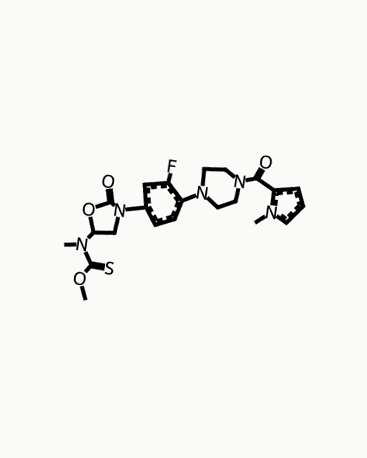 COC(=S)N(C)C1CN(c2ccc(N3CCN(C(=O)c4cccn4C)CC3)c(F)c2)C(=O)O1